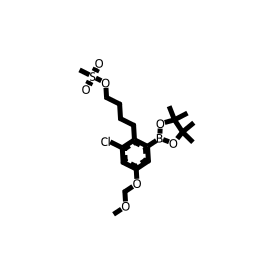 COCOc1cc(Cl)c(CCCCOS(C)(=O)=O)c(B2OC(C)(C)C(C)(C)O2)c1